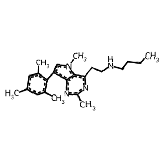 CCCCNCCc1nc(C)nc2c(-c3c(C)cc(C)cc3C)cn(C)c12